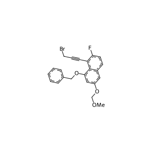 COCOc1cc(OCc2ccccc2)c2c(C#CCBr)c(F)ccc2c1